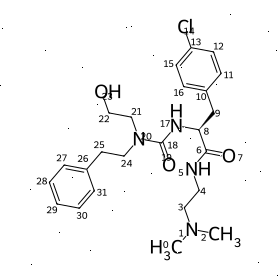 CN(C)CCNC(=O)[C@H](Cc1ccc(Cl)cc1)NC(=O)N(CCO)CCc1ccccc1